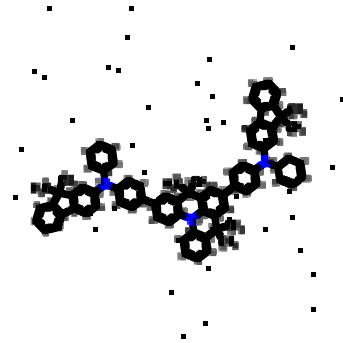 CC1(C)c2ccccc2-c2ccc(N(c3ccccc3)c3ccc(-c4ccc5c(c4)C(C)(C)c4cc(-c6ccc(N(c7ccc8c(c7)C(C)(C)c7ccccc7-8)C7C=CC=CC7)cc6)cc6c4N5c4ccccc4C6(C)C)cc3)cc21